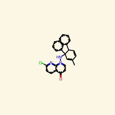 CC1=CC(Nn2ccc(=O)c3ccc(Cl)nc32)(c2ccccc2)C(c2ccccc2)C=C1